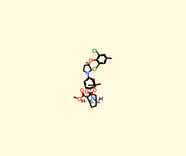 COC(=O)[C@H]1[C@H](c2ccc(N3CC[C@@H](Oc4c(Cl)cc(C)cc4Cl)C3)cc2)C[C@H]2CC[C@@H]1N2C(=O)OC(C)(C)C